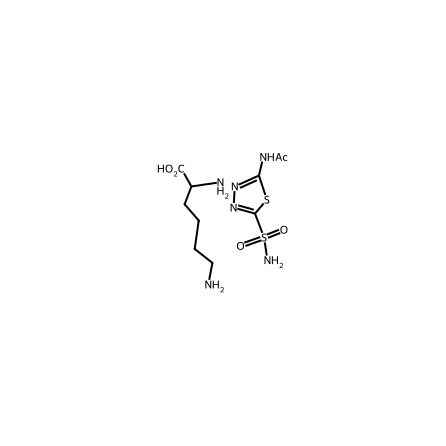 CC(=O)Nc1nnc(S(N)(=O)=O)s1.NCCCCC(N)C(=O)O